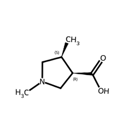 C[C@@H]1CN(C)C[C@@H]1C(=O)O